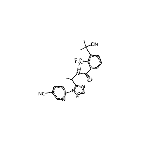 CC(NC(=O)c1cccc(C(C)(C)C#N)c1C(F)(F)F)c1ncnn1-c1ccc(C#N)cn1